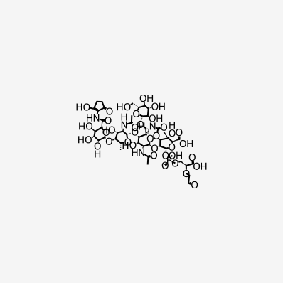 CC(=O)N[C@H]1[C@H](O[C@H]2[C@H](O)[C@@H](NC(C)=O)[C@H](O[C@H]3[C@@H](OP(=O)(O)OC[C@H](OCC=O)C(=O)O)O[C@H](C(=O)O)[C@@](C)(O)[C@@H]3OC(N)=O)O[C@@H]2CO[C@@H]2O[C@H](CO)[C@@H](O)[C@H](O)[C@H]2O)O[C@H](C)[C@@H](O[C@@H]2O[C@H](C(=O)NC3=C(O)CCC3=O)[C@H](O)[C@H](O)[C@H]2O)[C@@H]1O